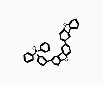 O=P(c1ccccc1)(c1ccccc1)c1cccc(-c2ccc3sc4ccc(-c5ccc6sc7ccccc7c6c5)cc4c3c2)c1